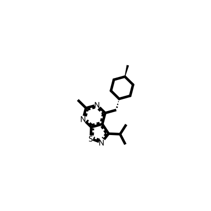 Cc1nc(C[C@H]2CC[C@H](C)CC2)c2c(C(C)C)nsc2n1